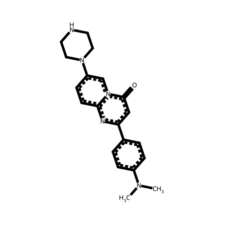 CN(C)c1ccc(-c2cc(=O)n3cc(N4CCNCC4)ccc3n2)cc1